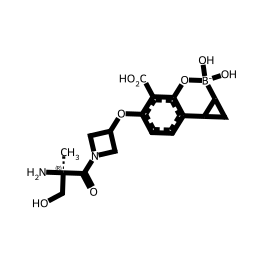 C[C@@](N)(CO)C(=O)N1CC(Oc2ccc3c(c2C(=O)O)O[B-](O)(O)C2CC32)C1